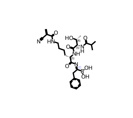 C=C(C#N)C(=O)NCCCC[C@H](NC(=O)[C@@H](NC(=O)C(C)C)[C@@H](C)O)C(=O)/N=C(\Cc1ccccc1)B(O)O